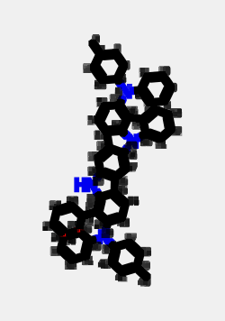 CC1=CCC(N(c2ccccc2)c2ccc3c4cc5[nH]c6c(C7C=CC=CC7)c(N(c7ccccc7)c7ccc(C)cc7)ccc6c5cc4n4c5ccccc5c2c34)C=C1